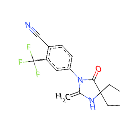 C=C1NC2(CCCC2)C(=O)N1c1ccc(C#N)c(C(F)(F)F)c1